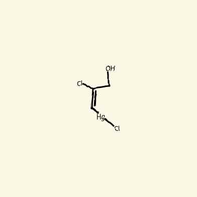 OC/C(Cl)=[CH]\[Hg][Cl]